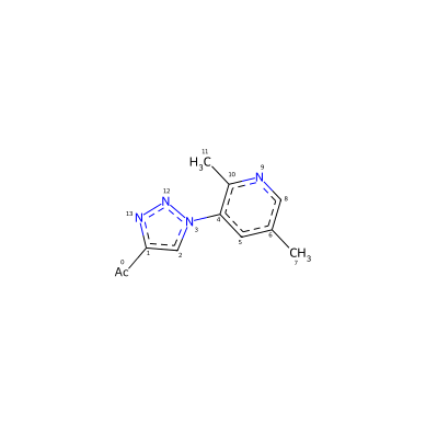 CC(=O)c1cn(-c2cc(C)cnc2C)nn1